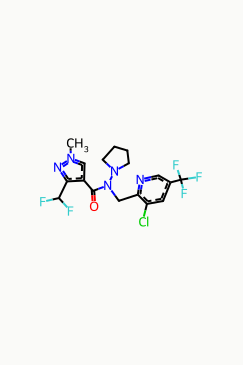 Cn1cc(C(=O)N(Cc2ncc(C(F)(F)F)cc2Cl)N2CCCC2)c(C(F)F)n1